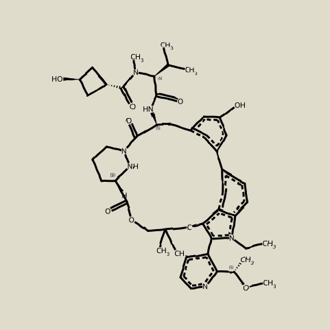 CCn1c(-c2cccnc2[C@H](C)OC)c2c3cc(ccc31)-c1cc(O)cc(c1)C[C@H](NC(=O)[C@H](C(C)C)N(C)C(=O)[C@H]1C[C@H](O)C1)C(=O)N1CCC[C@H](N1)C(=O)OCC(C)(C)C2